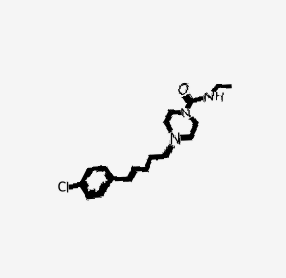 CCNC(=O)N1CCN(CCCC=Cc2ccc(Cl)cc2)CC1